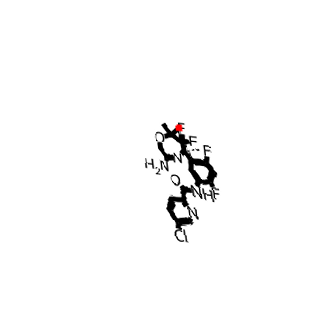 CC1(C)OCC(N)=N[C@](C)(c2cc(NC(=O)c3ccc(Cl)cn3)c(F)cc2F)C1(F)F